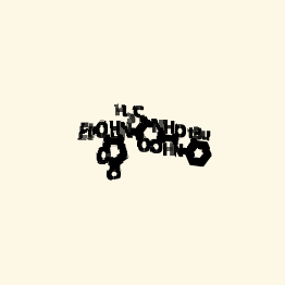 CCOC1OC(=O)CC1NC(=O)C(C)NC(=O)C(=O)Nc1ccccc1C(C)(C)C